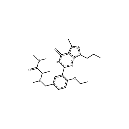 CCCc1nc(C)c2c(=O)[nH]c(-c3cc(CN(C)C(C)C(=O)N(C)C)ccc3OCC)nn12